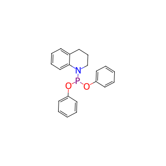 c1ccc(OP(Oc2ccccc2)N2CCCc3ccccc32)cc1